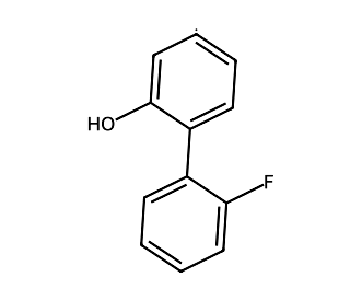 Oc1c[c]ccc1-c1ccccc1F